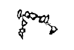 c1ccc(-c2nc3ccc4cc(-c5ccc6ccc(N(c7ccccc7)c7ccc(-c8ccc9ccccc9c8)cc7)cc6c5)ccc4c3o2)cc1